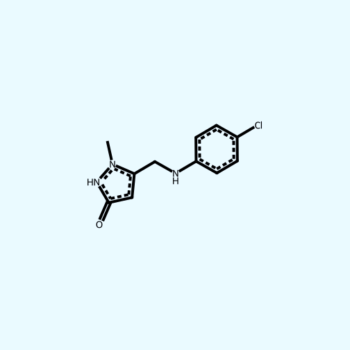 Cn1[nH]c(=O)cc1CNc1ccc(Cl)cc1